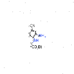 CCOC(=O)CNc1ccc(C#N)cc1N